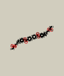 C=CC(=O)OCCC[Si](C)(C)c1ccc(OC(=O)C2CCC([C@H]3CC[C@H](C(=O)Oc4ccc([Si](C)(C)CCCOC(=O)C=C)cc4)CC3)CC2)cc1